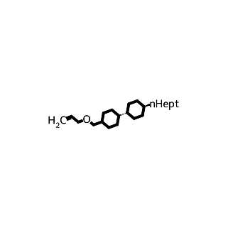 C=CCOCC1CCC([C@H]2CC[C@H](CCCCCCC)CC2)CC1